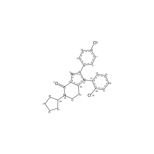 O=C1c2nc(-c3ccc(Cl)cc3)n(-c3ccccc3Cl)c2CCN1C1CCCC1